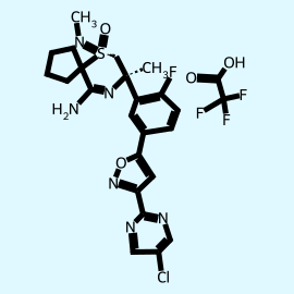 CN=[S@]1(=O)C[C@@](C)(c2cc(-c3cc(-c4ncc(Cl)cn4)no3)ccc2F)N=C(N)C12CCCC2.O=C(O)C(F)(F)F